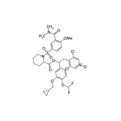 COc1ccc(S(=O)(=O)N2CCCCC2C(=O)OC(Cc2c(Cl)c[n+]([O-])cc2Cl)c2ccc(OC(F)F)c(OCC3CC3)c2)cc1C(=O)N(C)C